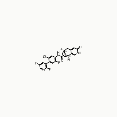 O=C(Nc1cc(Cl)c(-c2cc(F)cnc2F)cc1F)N1[C@H]2CC[C@@H]1c1c[nH]c(=O)cc1C2